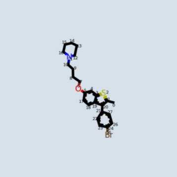 Cc1sc2cc(OCCCCN3CCCCC3)ccc2c1-c1ccc(Br)cc1